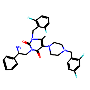 Cc1c(N2CCN(Cc3ccc(F)cc3F)CC2)c(=O)n(C[C@H](N)c2ccccc2)c(=O)n1Cc1c(F)cccc1F